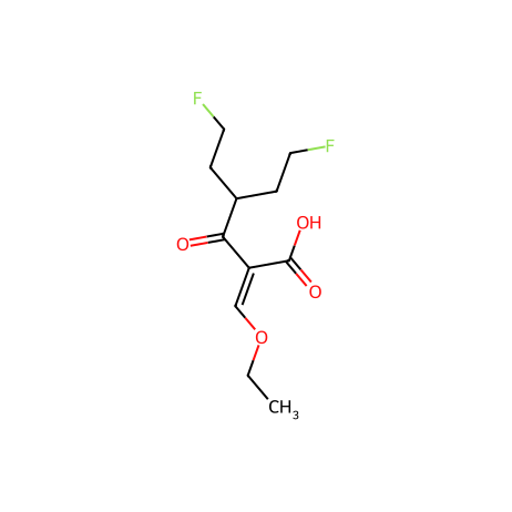 CCOC=C(C(=O)O)C(=O)C(CCF)CCF